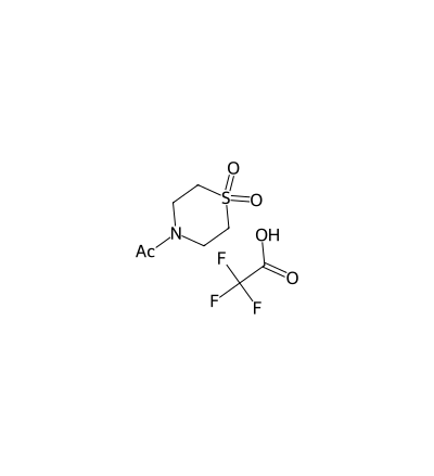 CC(=O)N1CCS(=O)(=O)CC1.O=C(O)C(F)(F)F